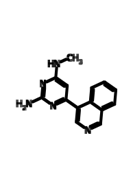 CNc1cc(-c2cncc3ccccc23)nc(N)n1